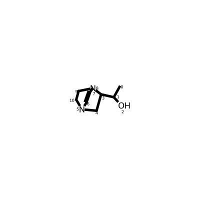 CC(O)C1CN2C=CN1CC2